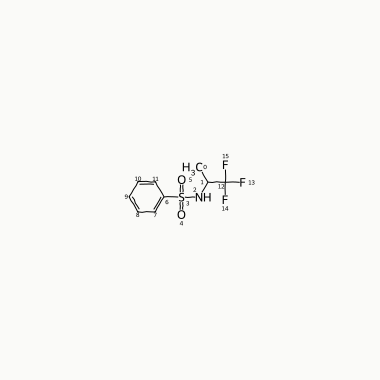 CC(NS(=O)(=O)c1ccccc1)C(F)(F)F